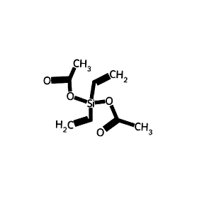 C=C[Si](C=C)(OC(C)=O)OC(C)=O